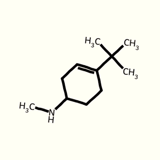 CNC1CC=C(C(C)(C)C)CC1